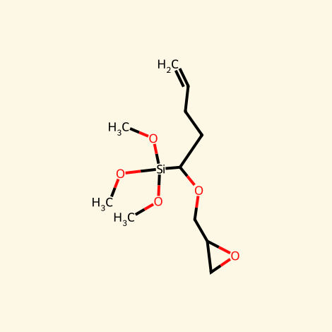 C=CCCC(OCC1CO1)[Si](OC)(OC)OC